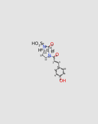 O=C(C=Cc1ccc(O)cc1)N1CC[C@@H]2[C@H]1C(=O)N2S(=O)(=O)O